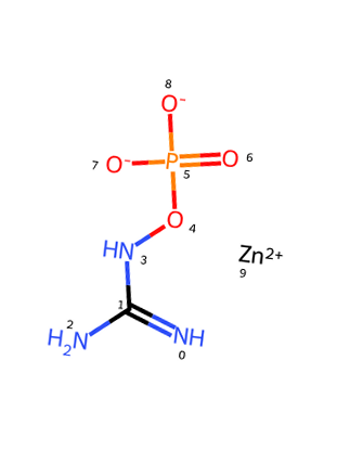 N=C(N)NOP(=O)([O-])[O-].[Zn+2]